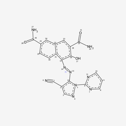 N#Cc1cnn(-c2ncccn2)c1/N=N/c1c(O)c(C(N)=O)cc2cc(C(N)=O)ccc12